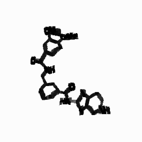 COc1ccc(C(=O)NCc2cccc(C(=O)Nc3nc4c(s3)CNCC4)c2)cc1OC